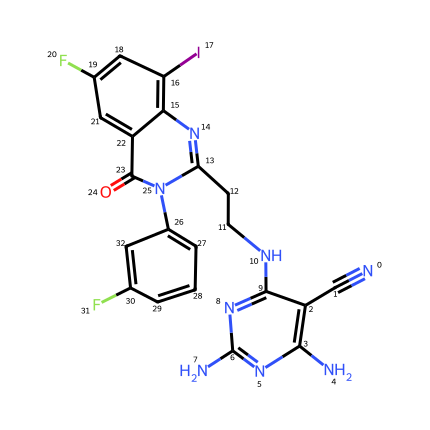 N#Cc1c(N)nc(N)nc1NCCc1nc2c(I)cc(F)cc2c(=O)n1-c1cccc(F)c1